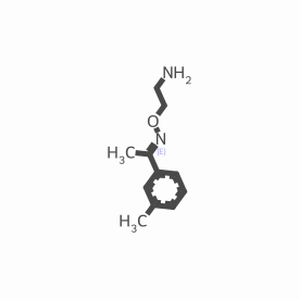 C/C(=N\OCCN)c1cccc(C)c1